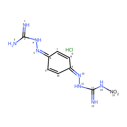 Cl.N=C(N)NN=C1C=CC(=NNC(=N)N[N+](=O)[O-])C=C1